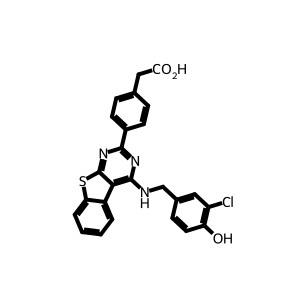 O=C(O)Cc1ccc(-c2nc(NCc3ccc(O)c(Cl)c3)c3c(n2)sc2ccccc23)cc1